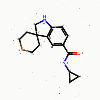 O=C(NC1CC1)c1ccc2c(c1)C1(CCSCC1)CN2